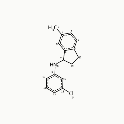 Cc1ccc2c(c1)C(Nc1cccc(Cl)c1)CC2